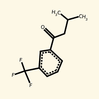 CC(C)CC(=O)c1cccc(C(F)(F)F)c1